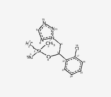 CC(C)(C)[Si](C)(C)OC(Cn1ncnn1)c1ccccc1Cl